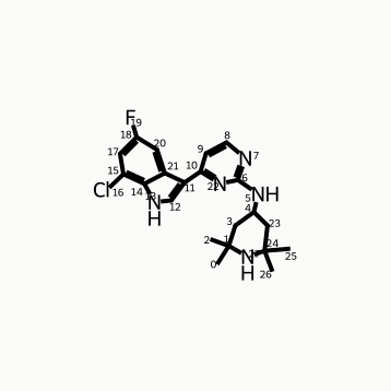 CC1(C)CC(Nc2nccc(-c3c[nH]c4c(Cl)cc(F)cc34)n2)CC(C)(C)N1